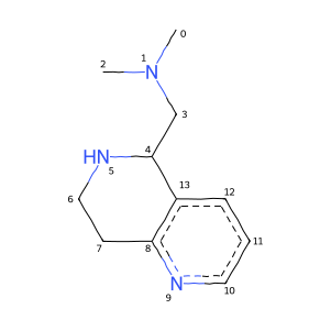 CN(C)CC1NCCc2ncccc21